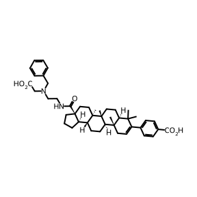 CC1(C)C(c2ccc(C(=O)O)cc2)=CC[C@]2(C)[C@H]3CC[C@@H]4[C@H]5CCC[C@]5(C(=O)NCCN(CC(=O)O)Cc5ccccc5)CC[C@@]4(C)[C@]3(C)CC[C@@H]12